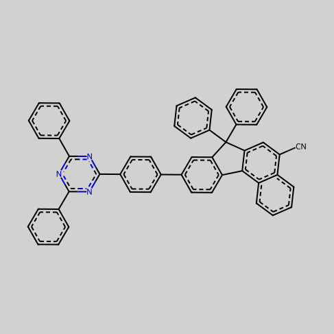 N#Cc1cc2c(c3ccccc13)-c1ccc(-c3ccc(-c4nc(-c5ccccc5)nc(-c5ccccc5)n4)cc3)cc1C2(c1ccccc1)c1ccccc1